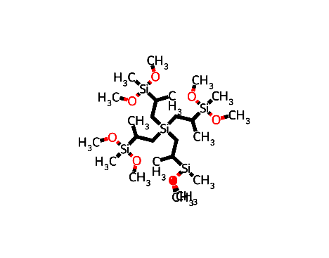 CO[Si](C)(OC)C(C)C[Si](CC(C)[Si](C)(OC)OC)(CC(C)[Si](C)(OC)OC)CC(C)[Si](C)(OC)OC